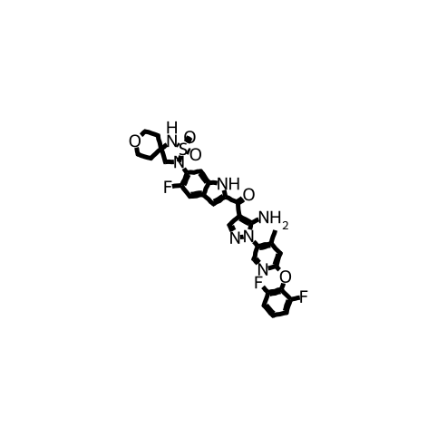 Cc1cc(Oc2c(F)cccc2F)ncc1-n1ncc(C(=O)c2cc3cc(F)c(N4CC5(CCOCC5)NS4(=O)=O)cc3[nH]2)c1N